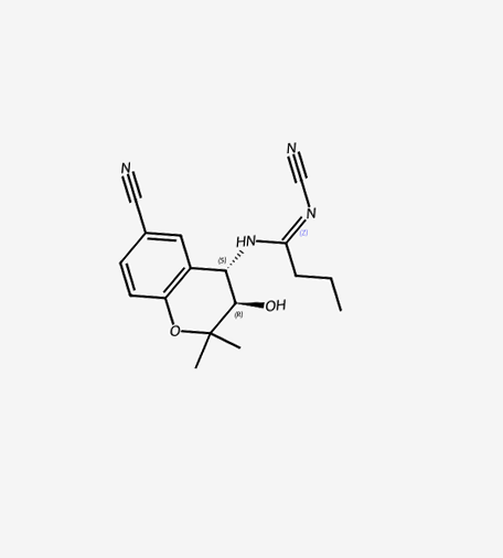 CCC/C(=N/C#N)N[C@H]1c2cc(C#N)ccc2OC(C)(C)[C@@H]1O